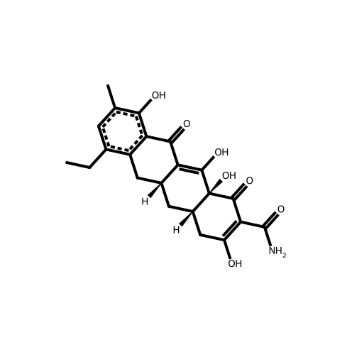 CCc1cc(C)c(O)c2c1C[C@H]1C[C@H]3CC(O)=C(C(N)=O)C(=O)[C@@]3(O)C(O)=C1C2=O